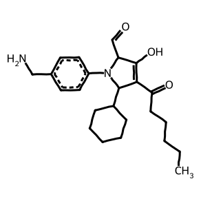 CCCCCC(=O)C1=C(O)C(C=O)N(c2ccc(CN)cc2)C1C1CCCCC1